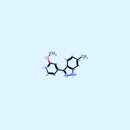 COc1cc(-c2n[nH]c3cc(C)ccc23)ccn1